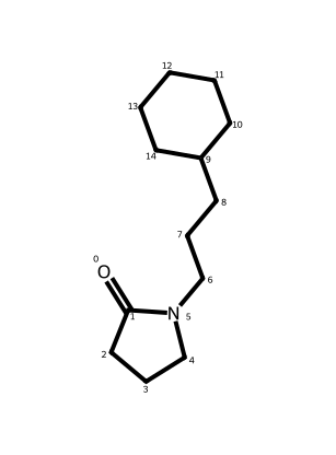 O=C1CCCN1CCCC1CCCCC1